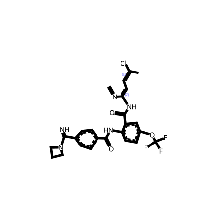 C=N/C(=C\C=C(/C)Cl)NC(=O)c1cc(OC(F)(F)F)ccc1NC(=O)c1ccc(C(=N)N2CCC2)cc1